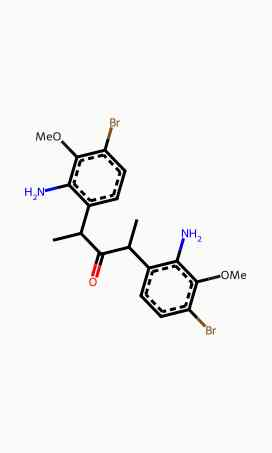 COc1c(Br)ccc(C(C)C(=O)C(C)c2ccc(Br)c(OC)c2N)c1N